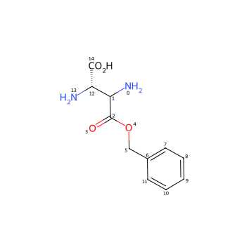 NC(C(=O)OCc1ccccc1)[C@H](N)C(=O)O